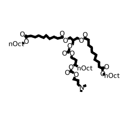 CCCCCCCCOC(=O)CCCCCCCCC(=O)OCC(COC(=O)CCCCCCCCC(=O)OCCCCCCCC)COC(=O)OCCC(CCCCCCCC)OC(=O)OCCCN(C)C